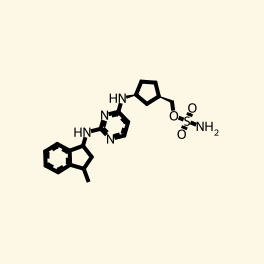 CC1CC(Nc2nccc(N[C@H]3CC[C@@H](COS(N)(=O)=O)C3)n2)c2ccccc21